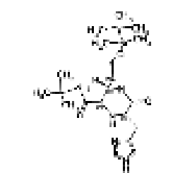 CC(C)(C)NC(=O)[C@@H]1N[C@@H](Cc2c[nH]cn2)C(=O)N2[C@H]1[C@H]2CO[Si](C)(C)C(C)(C)C